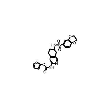 O=C(Nc1ncc2c(n1)CCC(NS(=O)(=O)c1ccc3c(c1)OCCO3)C2)Oc1cccs1